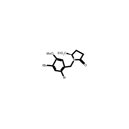 CCOC(=O)[C@H]1CCC(=O)N1Cc1cc(OC)c(C(C)(C)C)cc1Br